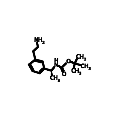 C[C@H](NC(=O)OC(C)(C)C)c1cccc(CCN)c1